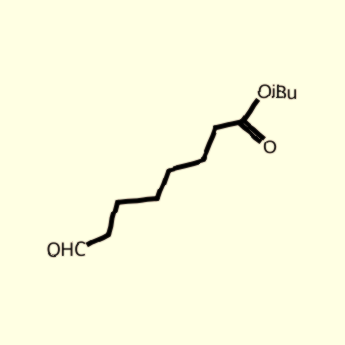 CC(C)COC(=O)CCCCCCC=O